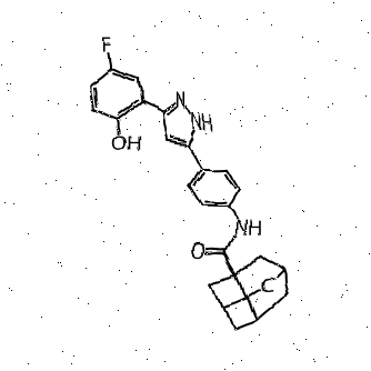 O=C(Nc1ccc(-c2cc(-c3cc(F)ccc3O)n[nH]2)cc1)C12CC3CC4CC(C1)C42C3